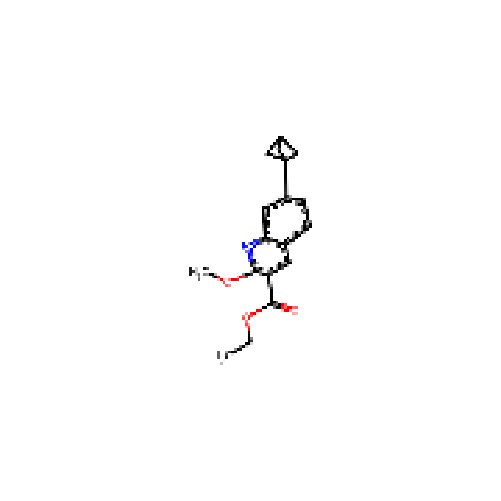 CCOC(=O)c1cc2ccc(C34CC(C3)C4)cc2nc1OC